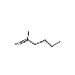 N=C(I)CCCI